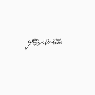 CCCCCCCCCCN(C(=O)CCCN(C)C)C(CCCCCCCCC)CCCCCCC(F)(F)C(=O)OCCC(CCCCCCC)CCCCCCC